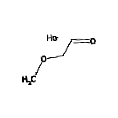 COCC=O.[Ho]